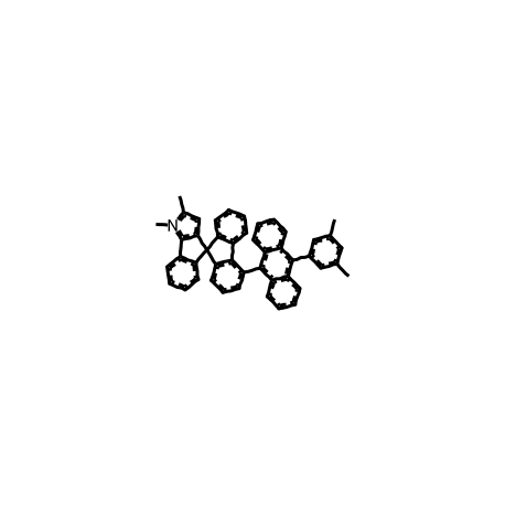 Cc1cc(C)cc(-c2c3ccccc3c(-c3cccc4c3-c3ccccc3C43c4ccccc4-c4c3cc(C)n4C)c3ccccc23)c1